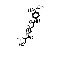 N[C@H](CS)C(=O)NCC(=O)CC(=O)Nc1ccc([AsH]O)cc1